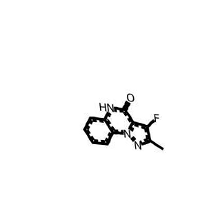 Cc1nn2c(c1F)c(=O)[nH]c1ccccc12